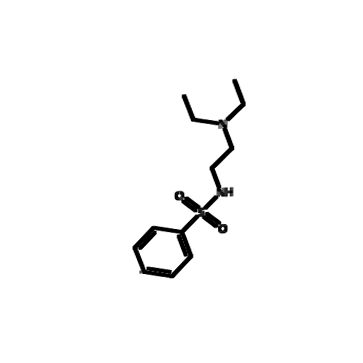 CCN(CC)CCNS(=O)(=O)c1cc[c]cc1